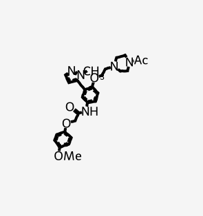 COc1ccc(OCC(=O)Nc2ccc(OCCN3CCN(C(C)=O)CC3)c(-c3ccnn3C)c2)cc1